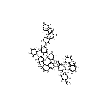 N#Cc1ccc(-c2nc(-c3ccc4c(ccc5oc6ccccc6c54)c3)nc(-c3ccccc3-c3ccc4c(c3)oc3ccc5cc(-c6nc(-c7ccc(C#N)cc7)nc(-c7cccc8oc9ccccc9c78)n6)ccc5c34)n2)cc1